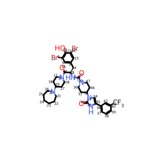 O=C(N[C@H](Cc1cc(Br)c(O)c(Br)c1)C(=O)N1CCC(N2CCCCCC2)CC1)N1CCC(n2cc(-c3cccc(C(F)(F)F)c3)[nH]c2=O)CC1